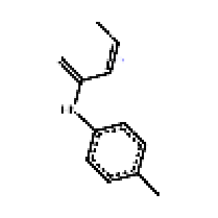 C=C(/C=C\C)Nc1ccc(C)cc1